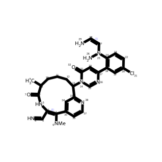 CN/C1=C(\C=N)NC(=O)C(C)CCCC(n2cnc(-c3cc(Cl)ccc3N(N)/C=C\N)cc2=O)c2cc1ccn2